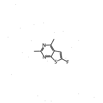 Cc1nc(C)c2cc(F)sc2n1